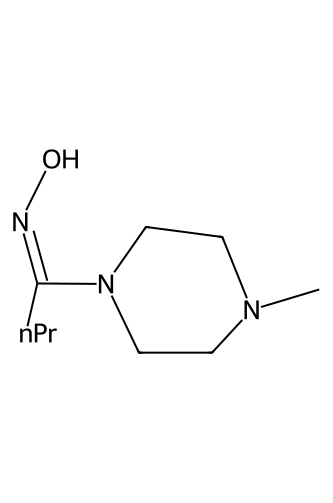 CCC/C(=N/O)N1CCN(C)CC1